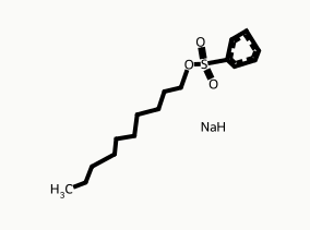 CCCCCCCCCCOS(=O)(=O)c1ccccc1.[NaH]